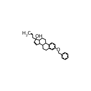 C=CCC1(O)C=CC2C3CCc4cc(OCc5ccccc5)ccc4C3CCC21